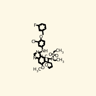 CCN(C(C)C1(c2cc3c(Nc4ccc(OCc5cccc(F)c5)c(Cl)c4)ncnc3cc2OC)CC=CO1)S(=O)(=O)CC